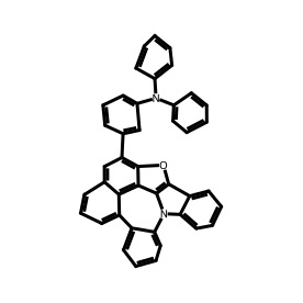 c1ccc(N(c2ccccc2)c2cccc(-c3cc4cccc5c6ccccc6n6c7ccccc7c7oc3c(c45)c76)c2)cc1